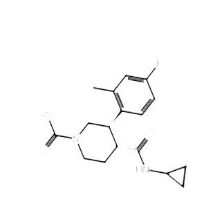 Cc1cc(F)ccc1[C@@H]1CN(C(=O)O)CC[C@H]1C(=O)NC1CC1